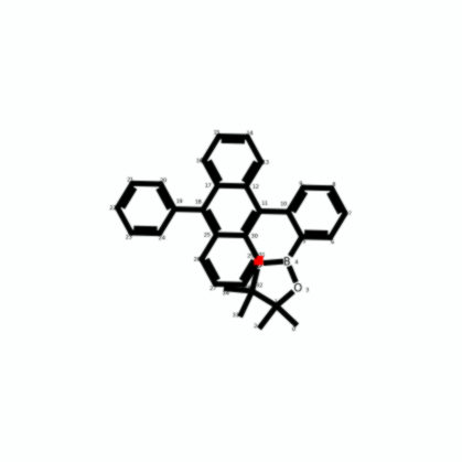 CC1(C)OB(c2ccccc2-c2c3ccccc3c(-c3ccccc3)c3ccccc23)OC1(C)C